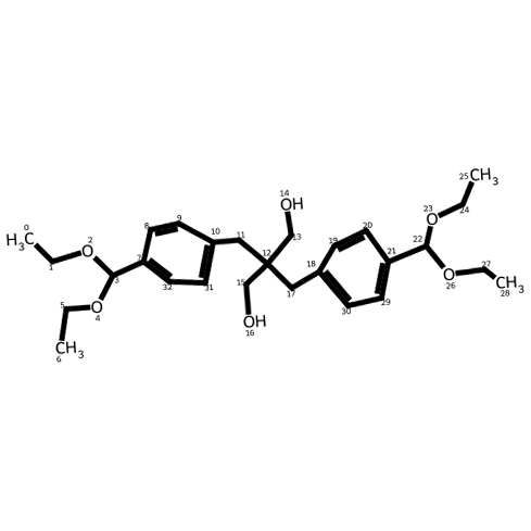 CCOC(OCC)c1ccc(CC(CO)(CO)Cc2ccc(C(OCC)OCC)cc2)cc1